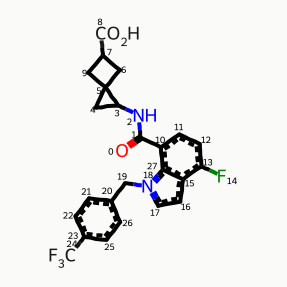 O=C(NC1CC12CC(C(=O)O)C2)c1ccc(F)c2ccn(Cc3ccc(C(F)(F)F)cc3)c12